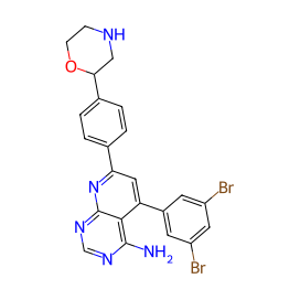 Nc1ncnc2nc(-c3ccc(C4CNCCO4)cc3)cc(-c3cc(Br)cc(Br)c3)c12